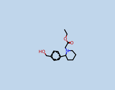 CCOC(=O)CN1CCCCC1c1ccc(CO)cc1